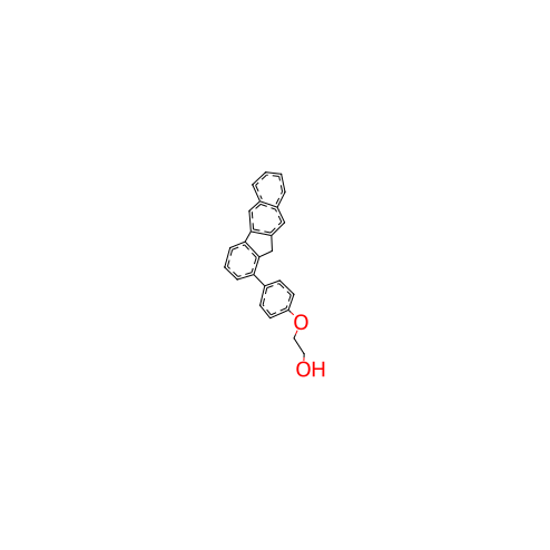 OCCOc1ccc(-c2cccc3c2Cc2cc4ccccc4cc2-3)cc1